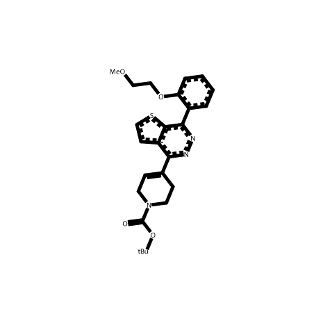 COCCOc1ccccc1-c1nnc(C2=CCN(C(=O)OC(C)(C)C)CC2)c2ccsc12